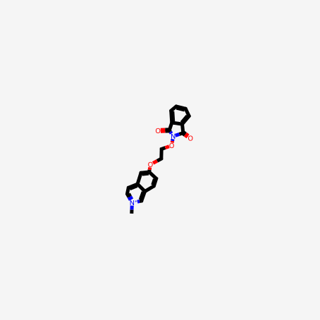 C[n+]1ccc2cc(OCCON3C(=O)c4ccccc4C3=O)ccc2c1